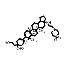 CC1(C)C(C2=CCC(C=O)(CCO)CC2)=CCC2(C)C1CCC1(C)C2CCC2C3CCCC3(NCCN3CCS(=O)(=O)CC3)CC[C@]21C